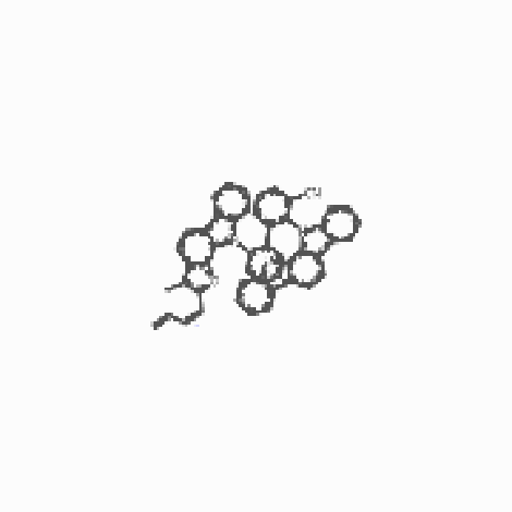 C=C/C=C\c1oc2c(ccc3c4ccccc4n(-c4ccccc4-c4cccc(C#N)c4-n4c5ccccc5c5ccc6c7ccccc7oc6c54)c32)c1C